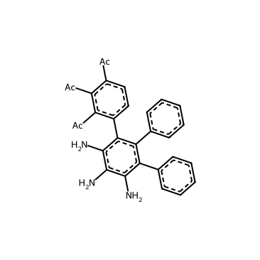 CC(=O)c1ccc(-c2c(N)c(N)c(N)c(-c3ccccc3)c2-c2ccccc2)c(C(C)=O)c1C(C)=O